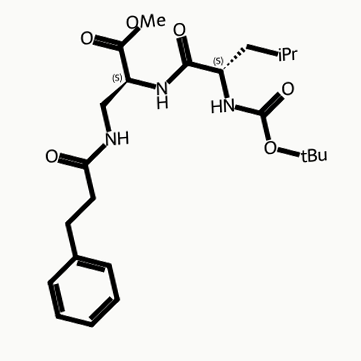 COC(=O)[C@H](CNC(=O)CCc1ccccc1)NC(=O)[C@H](CC(C)C)NC(=O)OC(C)(C)C